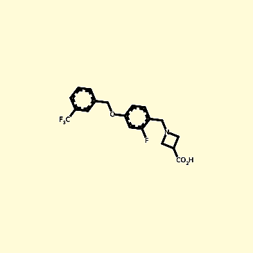 O=C(O)C1CN(Cc2ccc(OCc3cccc(C(F)(F)F)c3)cc2F)C1